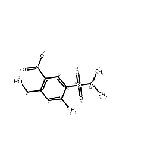 Cc1cc(CO)c([N+](=O)[O-])cc1S(=O)(=O)N(C)C